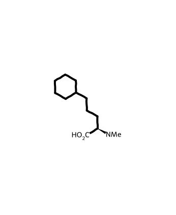 CN[C@H](CCCC1CCCCC1)C(=O)O